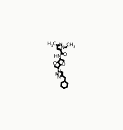 CCn1nc(C)cc1C(=O)NC1COC2C1OCC2n1cc(CC2CCCCC2)nn1